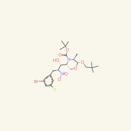 C[C@H]1[C@H](OCC(C)(C)C)OC[C@H]([C@@H](O)[C@H](Cc2cc(F)cc(Br)c2)[N+](=O)[O-])N1C(=O)OC(C)(C)C